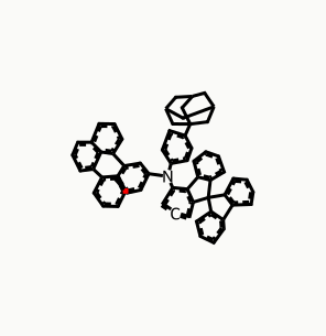 c1ccc(-c2cccc3cccc(-c4cccc(N(c5ccc(C67CC8CC(CC(C8)C6)C7)cc5)c5cccc6c5-c5ccccc5C65c6ccccc6-c6ccccc65)c4)c23)cc1